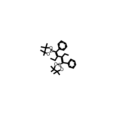 CCC(=C(\B1OC(C)(C)C(C)(C)O1)c1ccccc1)/C(CC)=C(\B1OC(C)(C)C(C)(C)O1)c1ccccc1